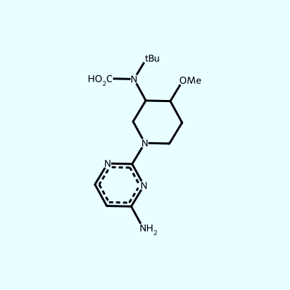 COC1CCN(c2nccc(N)n2)CC1N(C(=O)O)C(C)(C)C